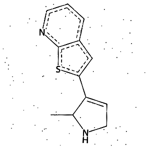 CC1NCC=C1c1cc2cccnc2s1